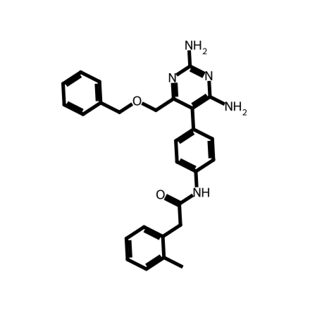 Cc1ccccc1CC(=O)Nc1ccc(-c2c(N)nc(N)nc2COCc2ccccc2)cc1